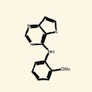 COc1ccccc1Nc1ncnc2ccsc12